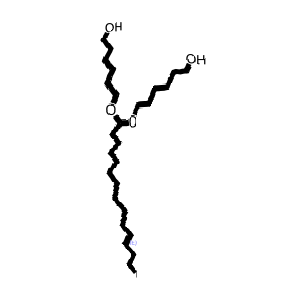 OCCCCCCOC(CCCCCCCCC/C=C/CCI)OCCCCCCO